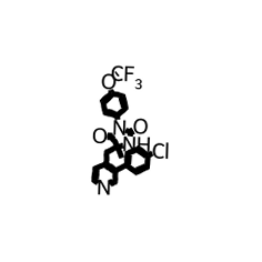 CC1(Cc2ccncc2-c2ccc(Cl)cc2)NC(=O)N(c2ccc(OC(F)(F)F)cc2)C1=O